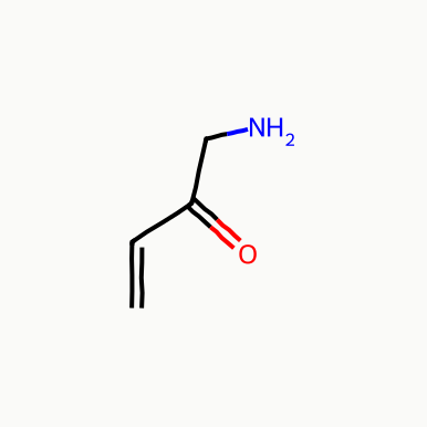 C=CC(=O)CN